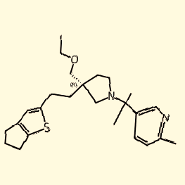 CCOC[C@]1(CCc2cc3c(s2)CCC3)CCN(C(C)(C)c2ccc(C)nc2)C1